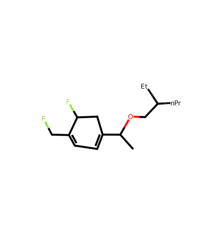 CCCC(CC)COC(C)C1=CC=C(CF)C(F)C1